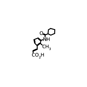 Cc1c(/C=C/C(=O)O)cccc1NC(=O)C1CCCCC1